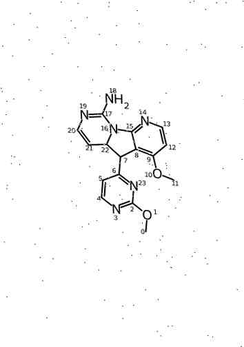 COc1nccc(C2c3c(OC)ccnc3N3C(N)=NC=CC23)n1